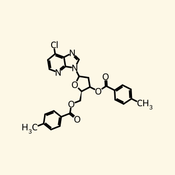 Cc1ccc(C(=O)OC[C@H]2OC(n3cnc4c(Cl)ccnc43)CC2OC(=O)c2ccc(C)cc2)cc1